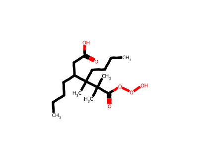 CCCCC(CC(=O)O)C(C)(CCCC)C(C)(C)C(=O)OOO